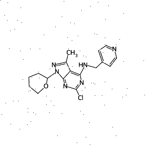 Cc1nn(C2CCCCO2)c2nc(Cl)nc(NCc3ccncc3)c12